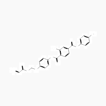 C=CC(=O)OCOc1ccc(OC(=O)c2ccc(C(=O)Oc3ccc(O)cc3)cc2C)cc1